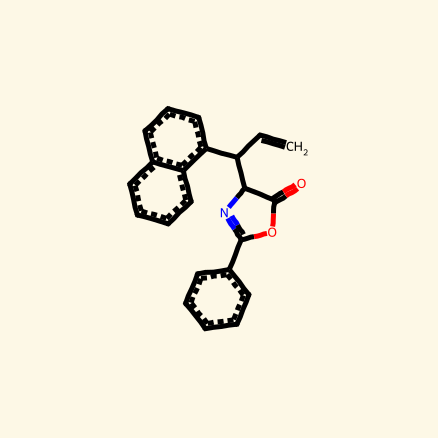 C=CC(c1cccc2ccccc12)C1N=C(c2ccccc2)OC1=O